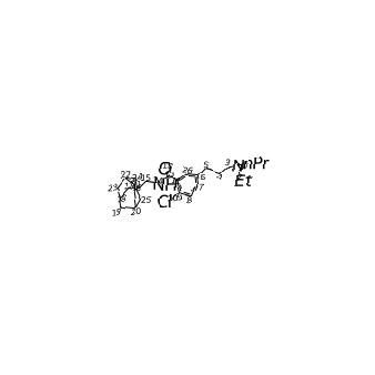 CCCN(CC)CCCc1ccc(Cl)c(C(=O)NCC23CC4CC(CC(C4)C2)C3)c1